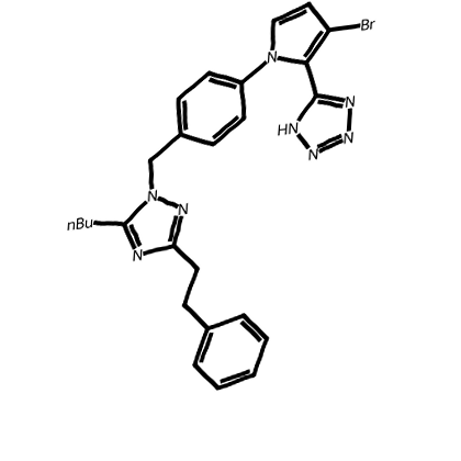 CCCCc1nc(CCc2ccccc2)nn1Cc1ccc(-n2ccc(Br)c2-c2nnn[nH]2)cc1